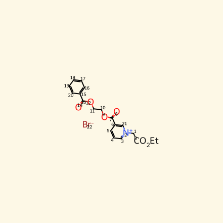 CCOC(=O)C[n+]1cccc(C(=O)OCCOC(=O)c2ccccc2)c1.[Br-]